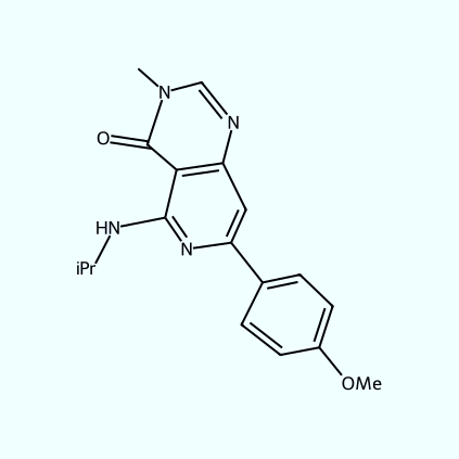 COc1ccc(-c2cc3ncn(C)c(=O)c3c(NC(C)C)n2)cc1